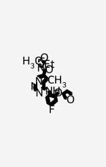 CCS(C)(=O)=NC(=O)c1cn2ncnc(Nc3ccc(F)cc3O[C@H]3CCOC3)c2c1C